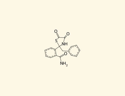 NC(=O)c1ccccc1C1(Cc2ccccc2)NC(=O)C(=O)S1